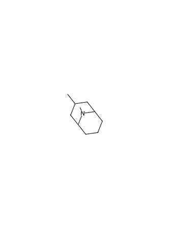 CC1CC2CCCC(C1)N2C